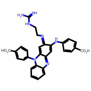 N=C(N)NCC/N=c1\cc2n(-c3ccc(C(=O)O)cc3)c3ccccc3nc-2cc1Nc1ccc(C(=O)O)cc1